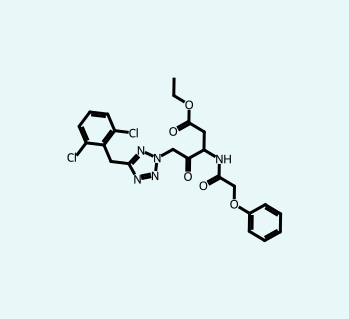 CCOC(=O)CC(NC(=O)COc1ccccc1)C(=O)Cn1nnc(Cc2c(Cl)cccc2Cl)n1